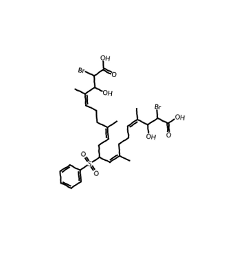 CC(=CCC(C=C(C)CCC=C(C)C(O)C(Br)C(=O)O)S(=O)(=O)c1ccccc1)CCC=C(C)C(O)C(Br)C(=O)O